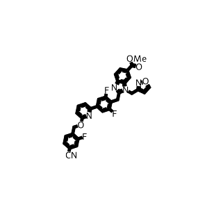 COC(=O)c1ccc2nc(Cc3c(F)cc(-c4cccc(OCc5ccc(C#N)cc5F)n4)cc3F)n(Cc3ccon3)c2c1